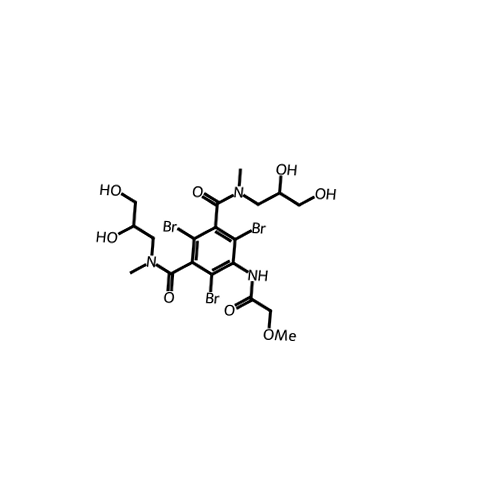 COCC(=O)Nc1c(Br)c(C(=O)N(C)CC(O)CO)c(Br)c(C(=O)N(C)CC(O)CO)c1Br